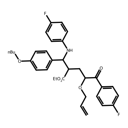 C=CCOC(CC(C(=O)OCC)C(Nc1ccc(F)cc1)c1ccc(OCCCC)cc1)C(=O)c1ccc(F)cc1